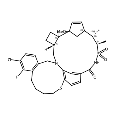 COC12C=C[C@H](C1)[C@H](C)[C@@H](C)S(=O)(=O)NC(=O)c1ccc3c(c1)N(Cc1ccc(Cl)c(F)c1CCCCS3)C[C@@H]1CC[C@H]12